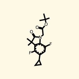 CC(C)(C)OC(=O)CN1C(=O)C(C)(C)c2c(F)c(C3CC3)cc(F)c21